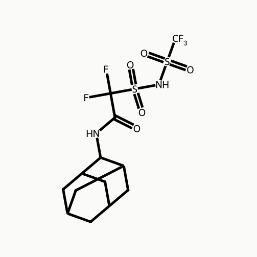 O=C(NC1C2CC3CC(C2)CC1C3)C(F)(F)S(=O)(=O)NS(=O)(=O)C(F)(F)F